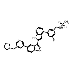 CS(=O)(=O)NCc1cc(F)cc(-c2ccnc3[nH]c(-c4n[nH]c5cnc(-c6cncc(CN7CCCC7)c6)cc45)cc23)c1